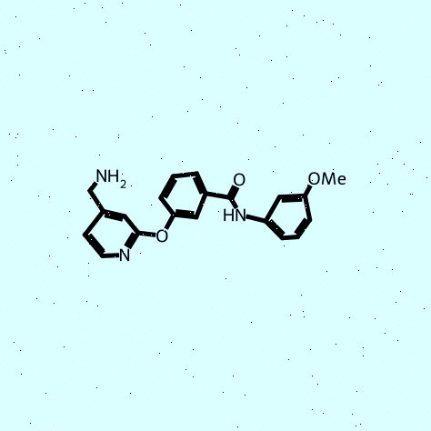 COc1cccc(NC(=O)c2cccc(Oc3cc(CN)ccn3)c2)c1